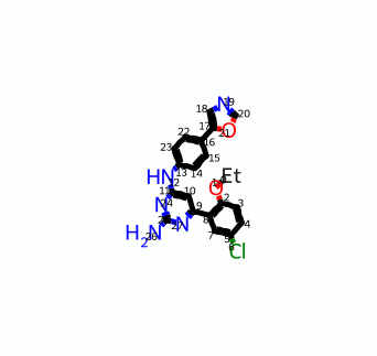 CCOc1ccc(Cl)cc1-c1cc(Nc2ccc(-c3cnco3)cc2)nc(N)n1